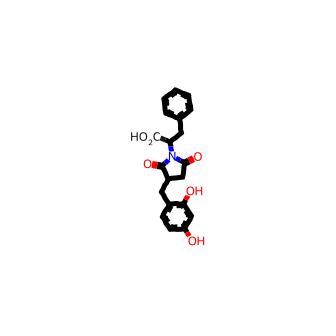 O=C(O)C(Cc1ccccc1)N1C(=O)CC(Cc2ccc(O)cc2O)C1=O